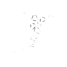 COc1ccc(C(Nc2ccn([C@@H]3O[C@@H]4COP(=O)(OCC[C@@H](C)C(=O)O)O[C@H]4C3(F)F)c(=O)n2)(c2ccccc2)c2ccc(OC)cc2)cc1